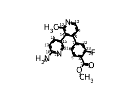 COC(=O)c1ccc(-c2ccnc(C)c2-c2ccc(N)nc2)cc1F